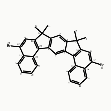 CC1(C)c2cc3c(cc2-c2c1cc(Br)c1ccccc21)-c1c(cc(Br)c2ccccc12)C3(C)C